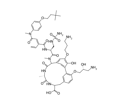 C=C/C(=C\C(=O)N(C)c1ccc(OCCC(C)(C)C)cc1)C(=O)N[C@@H](CNS(N)(=O)=O)C(=O)N(C)C1C(=O)N[C@@H](C)C(=O)NC(C(=O)O)Cc2ccc(OC[C@H](O)CN)c(c2)-c2cc1cc(OCCCN)c2O